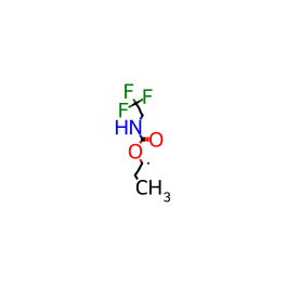 CC[CH]OC(=O)NCC(F)(F)F